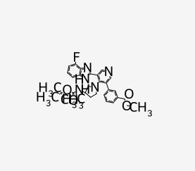 COC(=O)c1cccc(-c2cncc(-c3nc4c(F)cccc4[nH]3)c2N2CCC(C)(NC(=O)OC(C)(C)C)C2)c1